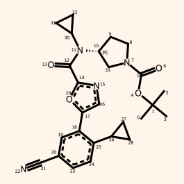 CC(C)(C)OC(=O)N1CC[C@@H](N(C(=O)c2ncc(-c3cc(C#N)ccc3C3CC3)o2)C2CC2)C1